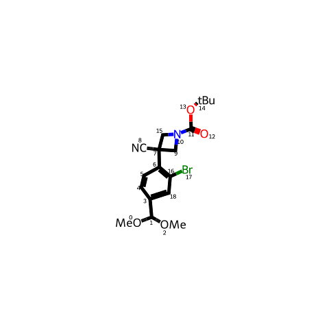 COC(OC)c1ccc(C2(C#N)CN(C(=O)OC(C)(C)C)C2)c(Br)c1